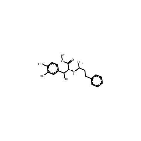 CC(CCc1ccccc1)N[C@H](C(=O)OC(C)C)C(O)c1ccc(O)c(O)c1